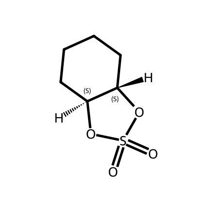 O=S1(=O)O[C@H]2CCCC[C@@H]2O1